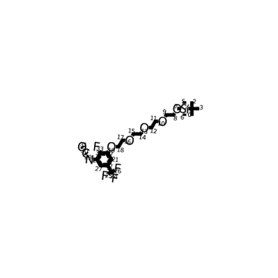 CC(C)(C)[Si](C)(C)OCCOCCOCCOCCOc1cc(C(F)(F)F)cc(N=C=O)c1F